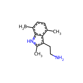 Bc1ccc(C)c2c(CCN)c(C)[nH]c12